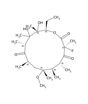 CC[C@H]1OC(=O)[C@@](C)(F)C(=O)[C@H](C)[C@@H](C)[C@](C)(OC)C[C@@H](C)C(=O)[C@H](C)C(C)(O)[C@]1(C)O